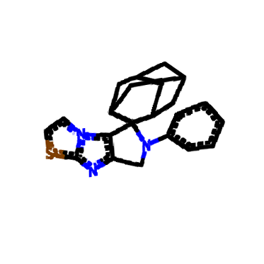 c1ccc(N2Cc3nc4sccn4c3C23C2CC4CC(C2)CC3C4)cc1